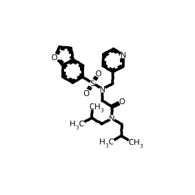 CC(C)CN(CC(C)C)C(=O)CN(Cc1cccnc1)S(=O)(=O)c1ccc2occc2c1